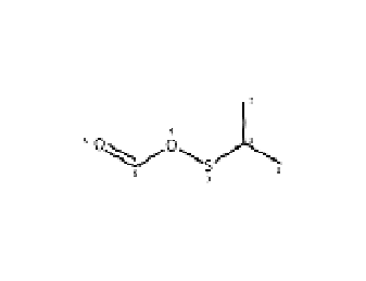 CC(C)SO[C]=O